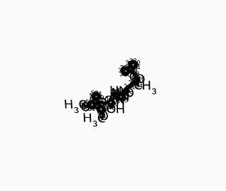 COc1ccc(C(OC[C@H]2O[C@@H](n3cnc4c(NC(=O)CCCN(C)C(=O)OCC5c6ccccc6-c6ccccc65)ncnc43)CC2O)(c2ccccc2)c2ccc(OC)cc2)cc1